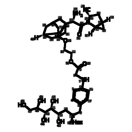 CCCCCCN(Cc1ccc(NCC(=O)OCCOC23CC4C[C@H](C2)CC([C@H](N)C(=O)N2[C@H](C#N)C[C@@H]5C[C@@H]52)(C4)C3)cc1)C[C@H](O)[C@@H](O)[C@H](O)[C@H](O)CO